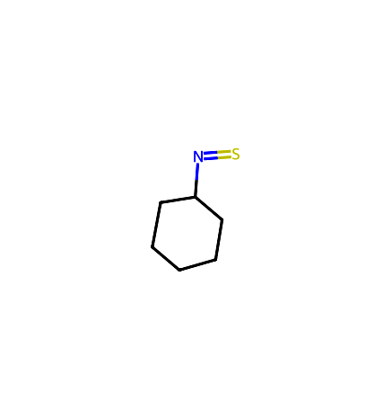 S=NC1CCCCC1